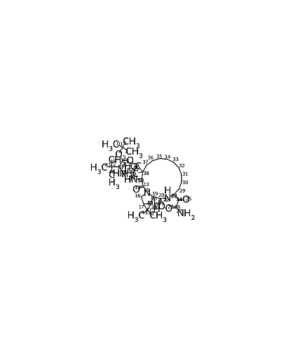 CC(C)(C)OC(=O)[C@@H](NC(=O)N[C@@H]1C(=O)N2CC3[C@@H]([C@H]2C(=O)N[C@H](C(=O)C(N)=O)CCCCCCCCCC1(C)C)C3(C)C)C(C)(C)C